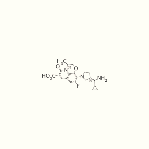 C[C@H]1COc2c(N3CC[C@@H](C(N)C4CC4)C3)c(F)cc3cc(C(=O)O)c(=O)n1c23